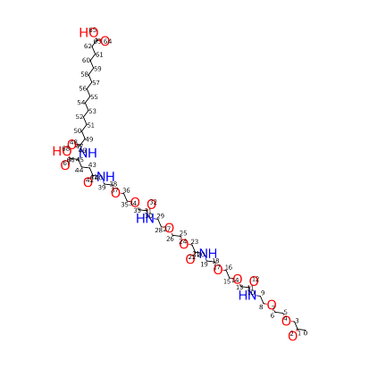 CC(=O)COCCOCCNC(=O)COCCOCCNC(=O)COCCOCCNC(=O)COCCOCCNC(=O)CCC(NC(=O)CCCCCCCCCCCCCCC(=O)O)C(=O)O